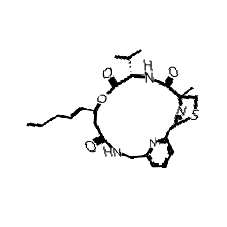 CCC/C=C/[C@@H]1CC(=O)NCc2cccc(n2)C2=N[C@@](C)(CS2)C(=O)N[C@@H](C(C)C)C(=O)O1